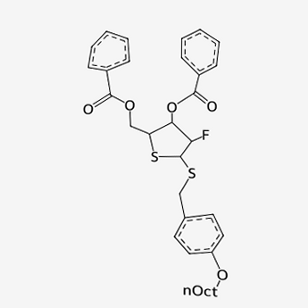 CCCCCCCCOc1ccc(CSC2SC(COC(=O)c3ccccc3)C(OC(=O)c3ccccc3)C2F)cc1